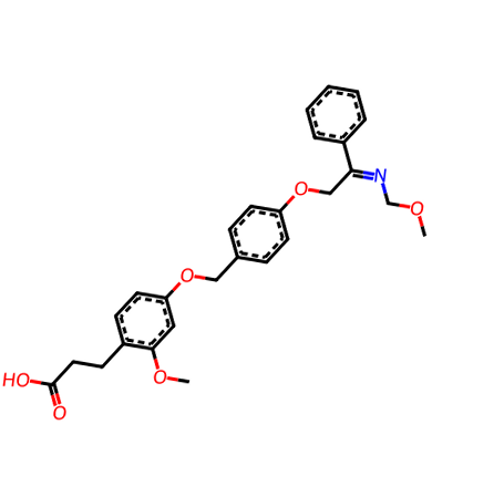 COC/N=C(\COc1ccc(COc2ccc(CCC(=O)O)c(OC)c2)cc1)c1ccccc1